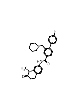 CN1C(=O)CCc2ccc(NC(=O)c3ccc(-c4ccc(F)cc4)c(CN4CCCCC4)c3)cc21